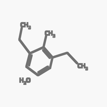 CCc1cccc(CC)c1C.O